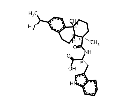 CC(C)c1ccc2c(c1)CC[C@H]1[C@](C)(C(=O)N[C@H](Cc3c[nH]c4ccccc34)C(=O)O)CCC[C@]21C